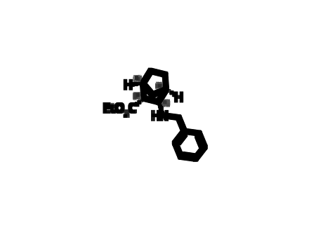 CCOC(=O)[C@@H]1[C@H]2CC[C@H](C2)[C@@H]1NCc1ccccc1